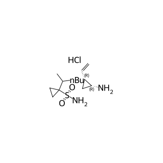 C=C[C@H]1C[C@H]1N.CCCCC(C)C1(S(N)(=O)=O)CC1.Cl